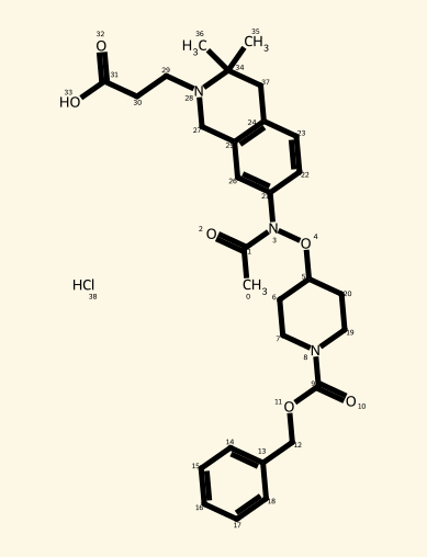 CC(=O)N(OC1CCN(C(=O)OCc2ccccc2)CC1)c1ccc2c(c1)CN(CCC(=O)O)C(C)(C)C2.Cl